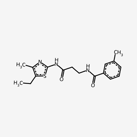 CCc1sc(NC(=O)CCNC(=O)c2cccc(C)c2)nc1C